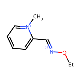 CCO/N=C/c1cccc[n+]1C